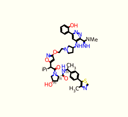 CNC(=N)c1nnc(-c2ccccc2O)cc1NC1CCN(CCOc2cc(C(C(=O)N3C[C@H](O)C[C@H]3C(=O)N[C@@H](C)c3ccc(-c4scnc4C)cc3)C(C)C)on2)C1